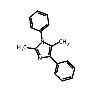 Cc1nc(-c2ccccc2)c(C)n1-c1ccccc1